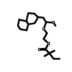 CCC(C)(C)C(=O)OCCOC(CC1CCC2CCCCC2C1)OC